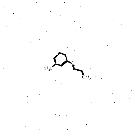 CCCOC1=CC(C)CCC1